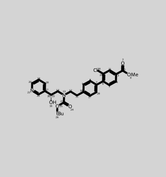 COC(=O)c1ccc(-c2ccc(CCN(C[C@H](O)c3cccnc3)C(=O)OC(C)(C)C)cc2)c(Cl)c1